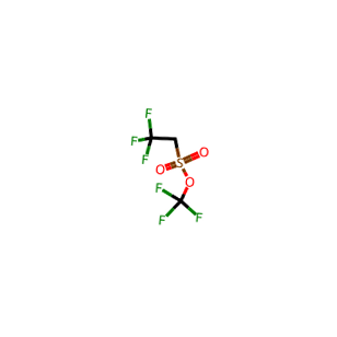 O=S(=O)(CC(F)(F)F)OC(F)(F)F